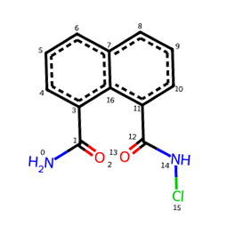 NC(=O)c1cccc2cccc(C(=O)NCl)c12